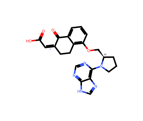 O=C(O)/C=C1/CCc2c(OC[C@H]3CCCN3c3ncnc4[nH]cnc34)cccc2C1=O